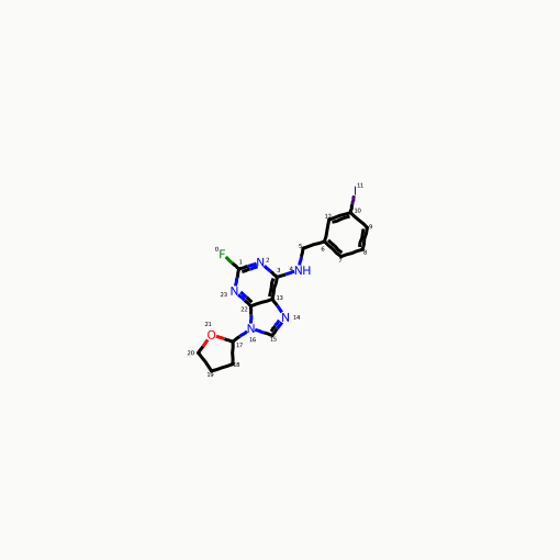 Fc1nc(NCc2cccc(I)c2)c2ncn(C3CCCO3)c2n1